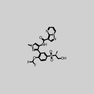 C[C@@H](CO)S(=O)(=O)c1ccc(OC(F)F)c(-c2nn(C)cc2NC(=O)c2cnn3cccnc23)c1